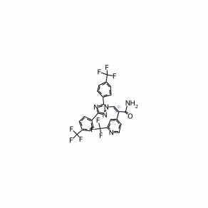 NC(=O)/C(=C/n1nc(-c2ccc(C(F)(F)F)cc2)nc1-c1ccc(C(F)(F)F)cc1)c1ccnc(C(F)(F)F)c1